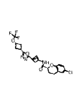 O=C(NC12CC(c3nnc([C@H]4C[C@@H](OC(F)(F)F)C4)o3)(C1)C2)[C@@H]1CCc2cc(Cl)ccc2O1